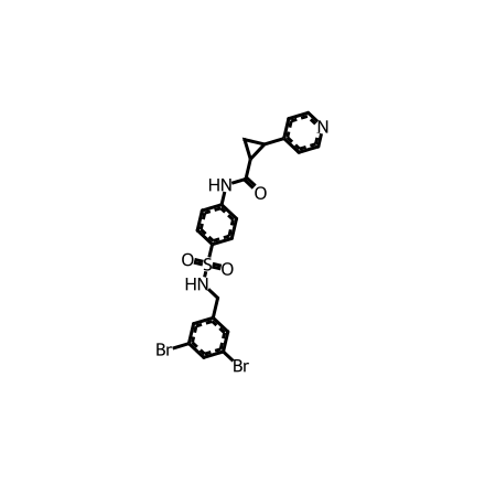 O=C(Nc1ccc(S(=O)(=O)NCc2cc(Br)cc(Br)c2)cc1)C1CC1c1ccncc1